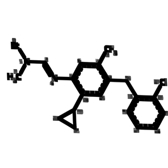 CCN(C)C=Nc1cc(C(F)(F)F)c(Cc2ccccc2Cl)cc1C1CC1